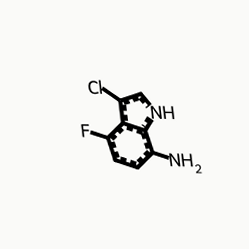 Nc1ccc(F)c2c(Cl)c[nH]c12